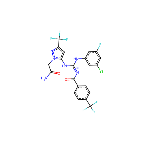 NC(=O)Cn1nc(C(F)(F)F)cc1N/C(=N\C(=O)c1ccc(C(F)(F)F)cc1)Nc1cc(F)cc(Cl)c1